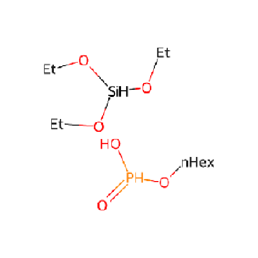 CCCCCCO[PH](=O)O.CCO[SiH](OCC)OCC